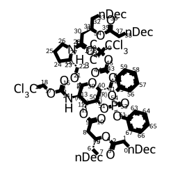 CCCCCCCCCCCC(=O)O[C@H](CCCCCCCCCCC)CC(=O)O[C@@H]1[C@@H](NC(=O)OCC(Cl)(Cl)Cl)[C@H](OC[C@@H]2CCCN2C(=O)C[C@@H](CCCCCCCCCCC)OC(=O)CCCCCCCCCCC)O[C@H](COC(=O)OC(C)(C)C(Cl)(Cl)Cl)[C@H]1OP(=O)(Oc1ccccc1)Oc1ccccc1